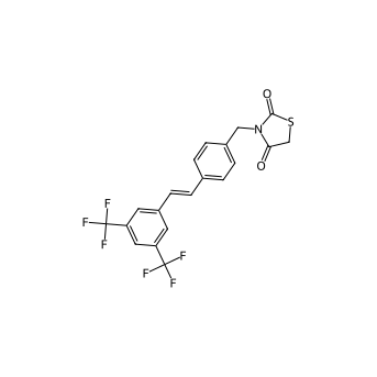 O=C1CSC(=O)N1Cc1ccc(/C=C/c2cc(C(F)(F)F)cc(C(F)(F)F)c2)cc1